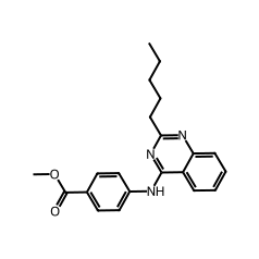 CCCCCc1nc(Nc2ccc(C(=O)OC)cc2)c2ccccc2n1